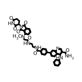 CN(CC(=O)NCCNC(=O)c1ccc(-c2ccc3c(Nc4ccccc4)c(C(N)=O)cnc3c2)cc1)c1cccc2c1C(=O)N(C1CCC(=O)NC1=O)C2=O